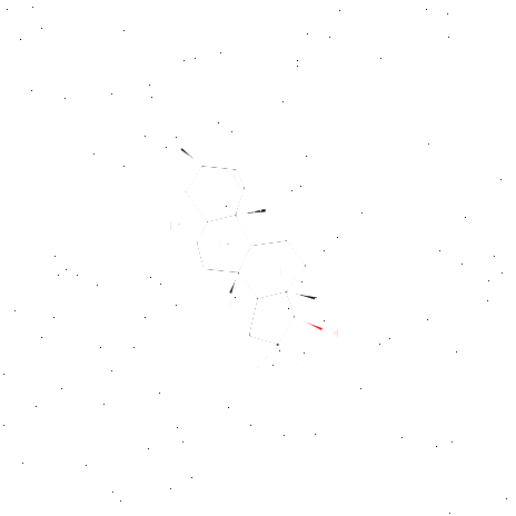 C[C@H]1C=C[C@@]2(C)[C@@H](CC[C@@H]3[C@@H]2CC[C@@]2(C)[C@H]3CC(C)(C)[C@@H]2O)C1